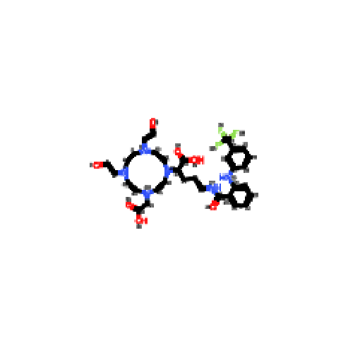 O=CCN1CCN(CC=O)CCN(C(CCCNC(=O)c2ccccc2Nc2cccc(C(F)(F)F)c2)C(=O)O)CCN(CC(=O)O)CC1